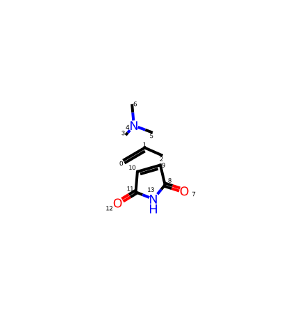 C=CC.CN(C)C.O=C1C=CC(=O)N1